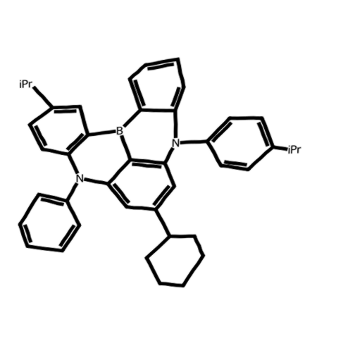 CC(C)c1ccc(N2c3ccccc3B3c4cc(C(C)C)ccc4N(c4ccccc4)c4cc(C5CCCCC5)cc2c43)cc1